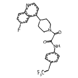 O=C(Nc1ccc(CC(F)(F)F)cc1)C(=O)N1CCC(c2ccnc3ccc(F)cc23)CC1